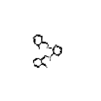 O=C1C=CC=C/C1=C/Nc1ccccc1N/C=C1/C=CC=CC1=O